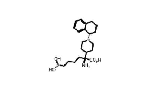 N[C@@](CCCCB(O)O)(C(=O)O)C1CCN([C@@H]2CCCc3ccccc32)CC1